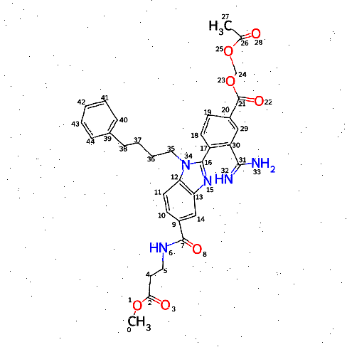 COC(=O)CCNC(=O)c1ccc2c(c1)nc(-c1ccc(C(=O)OCOC(C)=O)cc1C(=N)N)n2CCCCc1ccccc1